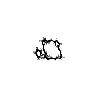 C1=CC2=NC1=CC1=NC(=CC3=NC(=CC4=NC(=C2)C=C4)C=C3)C=C1.c1cc[nH]c1